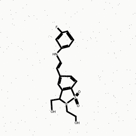 O=S1(=O)c2ccc(C=CNc3cccc(F)c3)cc2C(CO)N1CCO